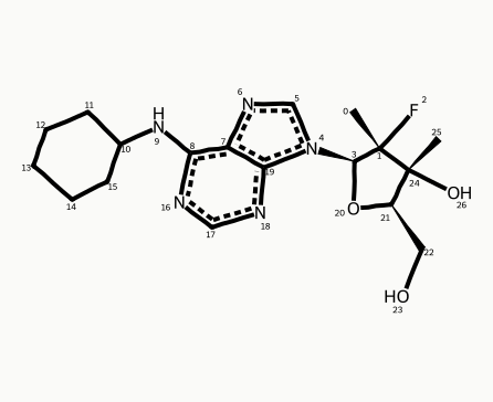 C[C@]1(F)[C@H](n2cnc3c(NC4CCCCC4)ncnc32)O[C@H](CO)[C@@]1(C)O